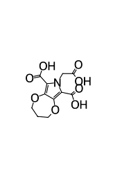 O=C(O)Cn1c(C(=O)O)c2c(c1C(=O)O)OCCCO2